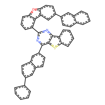 c1ccc(-c2ccc3cc(-c4nc(-c5cccc6oc7ccc(-c8ccc9ccccc9c8)cc7c56)nc5c4sc4ccccc45)ccc3c2)cc1